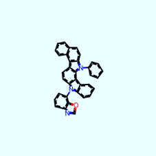 c1ccc(-n2c3ccc4ccccc4c3c3ccc4c(c5ccccc5n4-c4cccc5ncoc45)c32)cc1